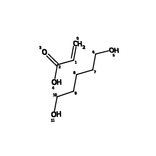 C=CC(=O)O.OCCCCCO